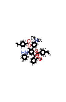 C=Cc1ccc(C(=O)Oc2cc(N(CC)CC)ccc2-c2c(C)c(Nc3ccccc3)cc(C3OC(=O)c4ccccc43)c2OC(=O)c2ccc(C=C)cc2)cc1